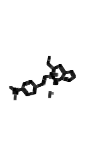 CCc1cc2cccc-2s[n+]1C=Cc1ccc(N(C)C)cc1.[I-]